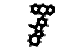 O=C1c2cc(N3c4ccccc4Cc4ccccc43)ccc2-c2cc3cccccc-3c21